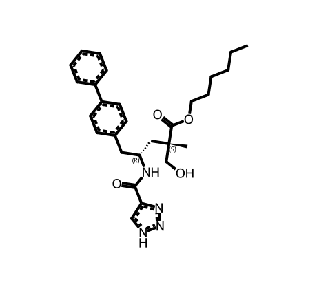 CCCCCCOC(=O)[C@](C)(CO)C[C@@H](Cc1ccc(-c2ccccc2)cc1)NC(=O)c1c[nH]nn1